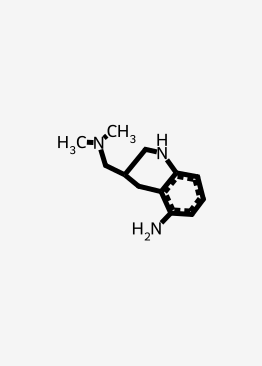 CN(C)CC1CNc2cccc(N)c2C1